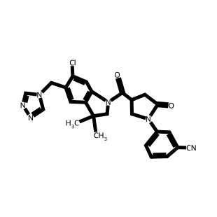 CC1(C)CN(C(=O)C2CC(=O)N(c3cccc(C#N)c3)C2)c2cc(Cl)c(Cn3cnnc3)cc21